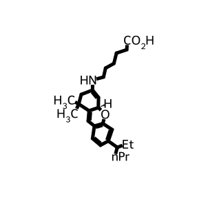 CCCC(CC)c1ccc2c(c1)O[C@@H]1C=C(NCCCCCC(=O)O)CC(C)(C)C1=C2